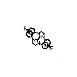 Fc1ccc(N2CCN(c3ccc(F)cc3)C2=C2N(c3ccc(F)cc3)CCN2c2ccc(F)cc2)cc1